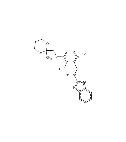 Cc1c(OCC2(C)OCCCO2)ccnc1C[S+]([O-])c1nc2ccccc2[nH]1.[Na]